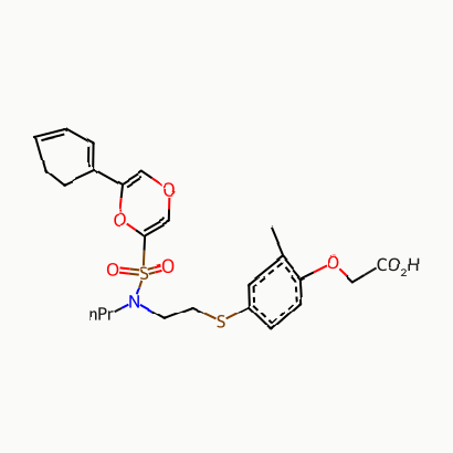 CCCN(CCSc1ccc(OCC(=O)O)c(C)c1)S(=O)(=O)C1=COC=C(C2=CC=CCC2)O1